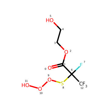 O=C(OCCO)C(F)(SOOO)C(F)(F)F